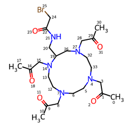 CC(=O)CN1CCN(CC(C)=O)CCN(CC(C)=O)C(CNC(=O)CBr)CN(CC(C)=O)CC1